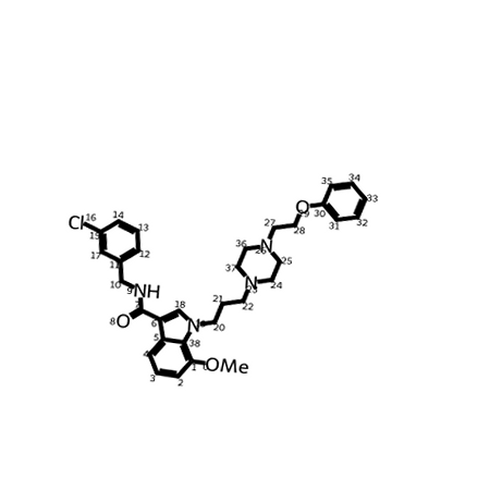 COc1cccc2c(C(=O)NCc3cccc(Cl)c3)cn(CCCN3CCN(CCOc4ccccc4)CC3)c12